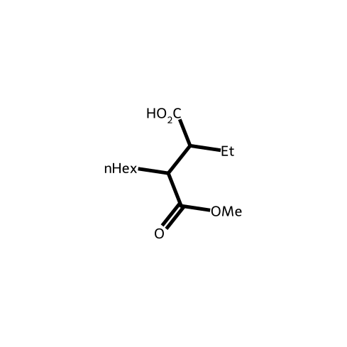 CCCCCCC(C(=O)OC)C(CC)C(=O)O